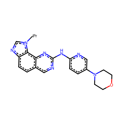 CC(C)n1cnc2ccc3cnc(Nc4ccc(N5CCOCC5)cn4)nc3c21